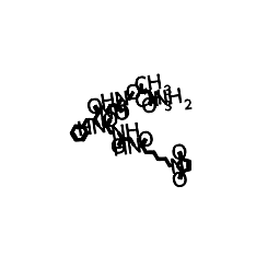 CC(C)(CC(N)=O)OCNC(=O)CNC(=O)[C@H](Cc1ccccc1)NC(=O)CNC(=O)CNC(=O)CCCCCN1C(=O)C=CC1=O